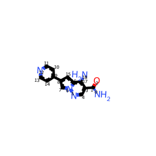 NC(=O)c1cnn2cc(-c3ccncc3)cc2c1N